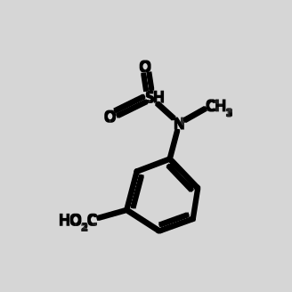 CN(c1cccc(C(=O)O)c1)[SH](=O)=O